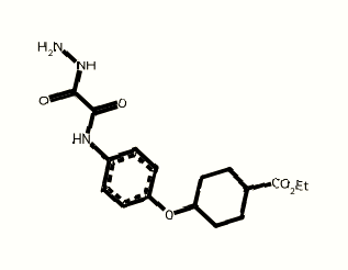 CCOC(=O)C1CCC(Oc2ccc(NC(=O)C(=O)NN)cc2)CC1